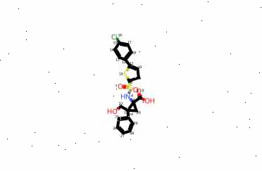 O=C(O)C1(NS(=O)(=O)C2CC=C(c3ccc(Cl)cc3)S2)CC1(CO)c1ccccc1